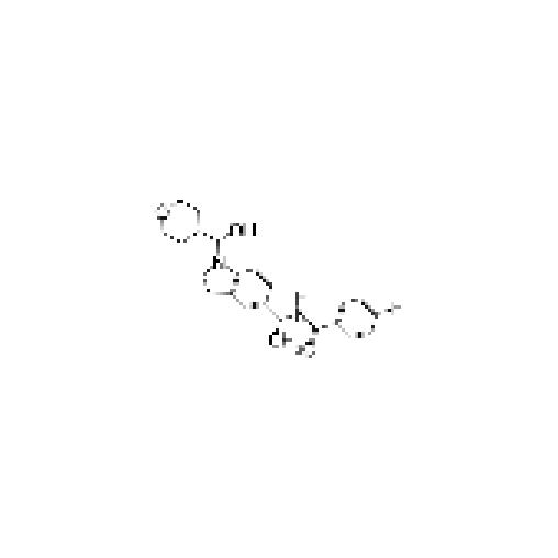 CC(NC(=O)c1ccc(F)cc1)c1ccc2c(c1)CCN2C(O)C1CCOCC1